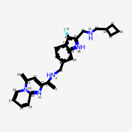 C=C(NCc1ccc2c(F)c(CNCC3CCC3)[nH]c2c1)C1=CC(=C)N2C=CC=CC2=N1